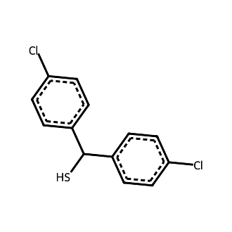 SC(c1ccc(Cl)cc1)c1ccc(Cl)cc1